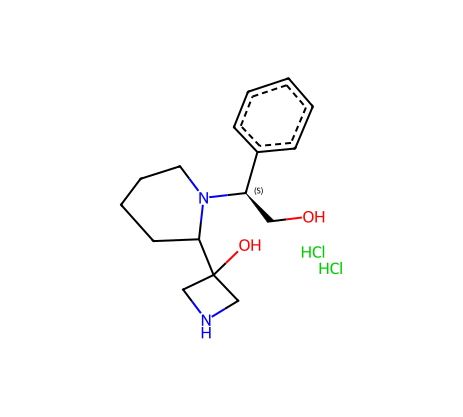 Cl.Cl.OC[C@H](c1ccccc1)N1CCCCC1C1(O)CNC1